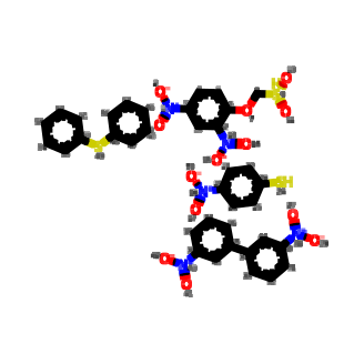 O=[N+]([O-])c1ccc(OC[SH](=O)=O)c([N+](=O)[O-])c1.O=[N+]([O-])c1ccc(S)cc1.O=[N+]([O-])c1cccc(-c2cccc([N+](=O)[O-])c2)c1.c1ccc(Sc2ccccc2)cc1